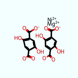 O=C([O-])c1cc(O)c(C(=O)[O-])cc1O.O=C([O-])c1cc(O)c(C(=O)[O-])cc1O.[Mg+2].[Ni+2]